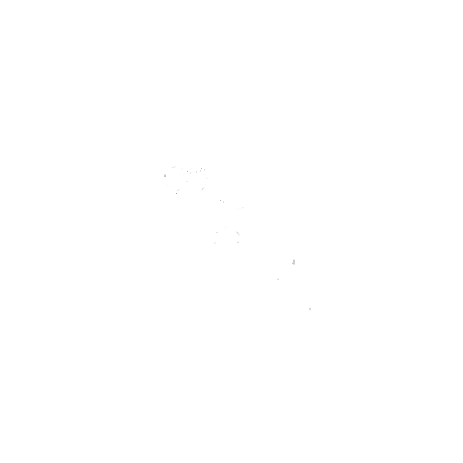 Cc1nc2c3c(nn2c(C)c1Cl)CN(C(=O)c1ccc(F)cc1O[C@H]1C[C@@H](NC(=O)CCO)C1)C3